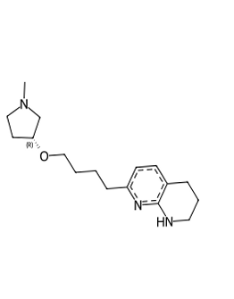 CN1CC[C@@H](OCCCCc2ccc3c(n2)NCCC3)C1